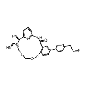 N=CN1CCCCOc2ccc(-c3ccc(CCF)nc3)cc2C(=O)Nc2cccc(n2)C1=N